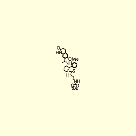 COc1cc2c(cc1C(C)NC1CCCN(C(=S)NCCNC(=O)OC(C)(C)C)C1c1ccccc1)NC(=O)CC2